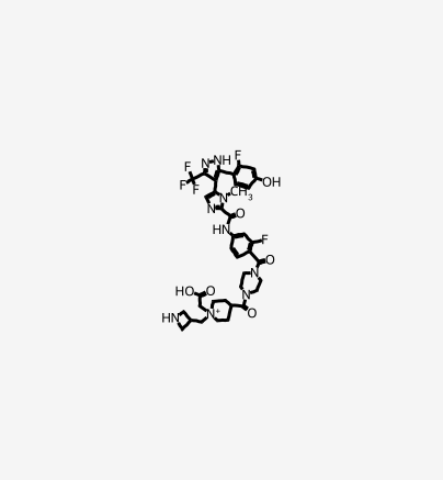 Cn1c(-c2c(C(F)(F)F)n[nH]c2-c2ccc(O)cc2F)cnc1C(=O)Nc1ccc(C(=O)N2CCN(C(=O)C3CC[N+](CC(=O)O)(CC4CNC4)CC3)CC2)c(F)c1